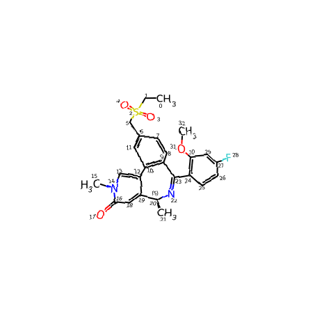 CCS(=O)(=O)Cc1ccc2c(c1)-c1cn(C)c(=O)cc1[C@H](C)N=C2c1ccc(F)cc1OC